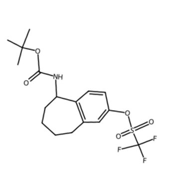 CC(C)(C)OC(=O)NC1CCCCc2cc(OS(=O)(=O)C(F)(F)F)ccc21